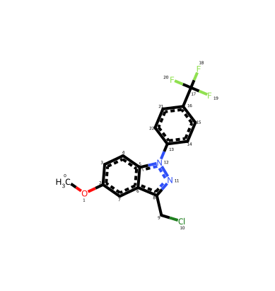 COc1ccc2c(c1)c(CCl)nn2-c1ccc(C(F)(F)F)cc1